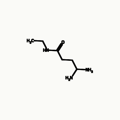 CCNC(=O)CCC(N)N